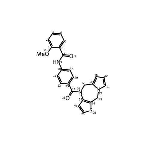 COc1ccccc1C(=O)Nc1ccc(C(=O)N2Cc3cccn3Cc3sccc32)cc1